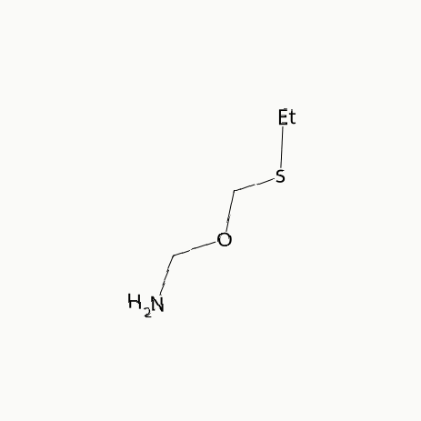 CCSCOCN